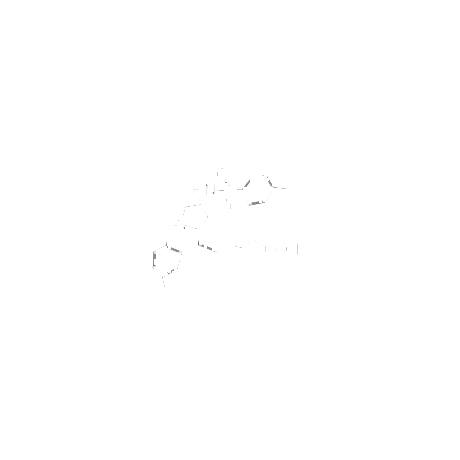 Cc1ccc(CN2C[C@H](NS(=O)(=O)c3ccc(Cl)cc3)C[C@H]2/C=C\CCCC(=O)O)cc1